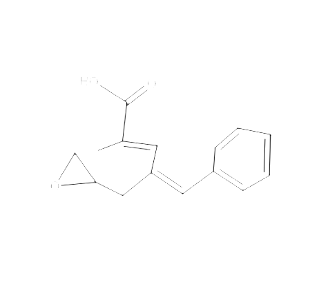 CC(=CC(=Cc1ccccc1)CC1CO1)C(=O)O